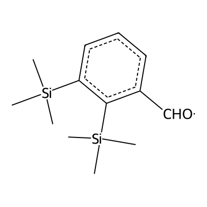 C[Si](C)(C)c1cccc([C]=O)c1[Si](C)(C)C